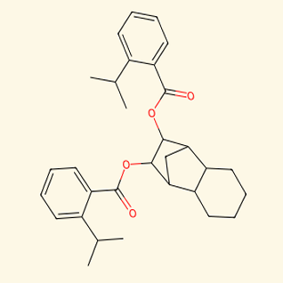 CC(C)c1ccccc1C(=O)OC1C2CC(C3CCCCC32)C1OC(=O)c1ccccc1C(C)C